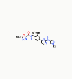 CCCCCC(NC(=O)c1nnc(C(C)(C)C)o1)c1ccc(-c2ccnc(Nc3cnn(CC)c3)n2)cc1CC